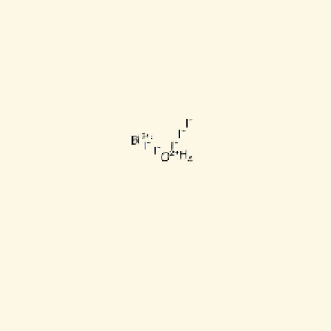 [Bi+3].[I-].[I-].[I-].[I-].[I-].[OH4+2]